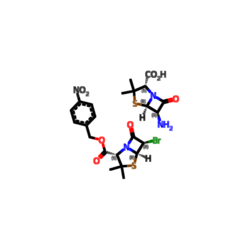 CC1(C)S[C@@H]2[C@H](Br)C(=O)N2[C@H]1C(=O)OCc1ccc([N+](=O)[O-])cc1.CC1(C)S[C@@H]2[C@H](N)C(=O)N2[C@H]1C(=O)O